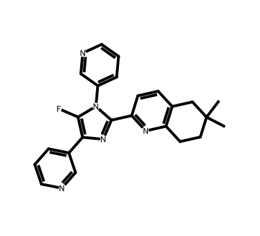 CC1(C)CCc2nc(-c3nc(-c4cccnc4)c(F)n3-c3cccnc3)ccc2C1